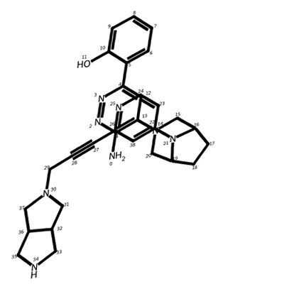 Nc1nnc(-c2ccccc2O)cc1N1CC2CCC(C1)N2c1ccnc(C#CCN2CC3CNCC3C2)c1